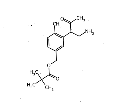 CC(=O)C(CN)c1cc(COC(=O)C(C)(C)C)ccc1C